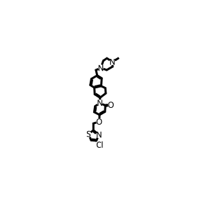 CN1CCN(Cc2ccc3c(c2)CCC(n2ccc(OCc4nc(Cl)cs4)cc2=O)=C3)CC1